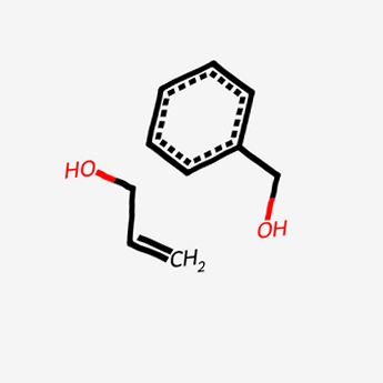 C=CCO.OCc1ccccc1